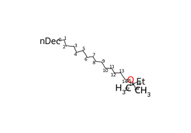 CCCCCCCCCCCCCCCCCCCCCCCCOC(C)(C)CC